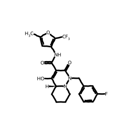 Cc1cc(NC(=O)C2=C(O)[C@H]3CCCCN3N(Cc3cccc(F)c3)C2=O)c(C(F)(F)F)o1